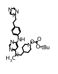 CN(CC1CCN(OC(=O)OC(C)(C)C)CC1)c1cc(Nc2ccc(CCn3cncn3)cc2)ncn1